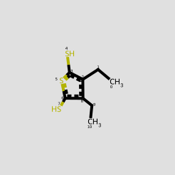 CCc1c(S)sc(S)c1CC